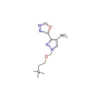 C[Si](C)(C)CCOCn1cc([N+](=O)[O-])c(-c2nnco2)n1